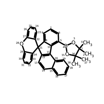 CC1(C)OB(c2cccc3c2-c2c(ccc4ccccc24)C32c3ccccc3Oc3ccccc32)OC1(C)C